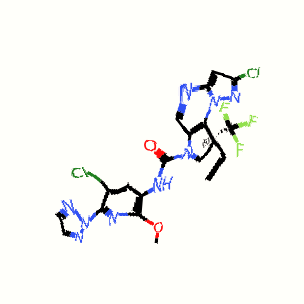 C=C[C@@]1(C(F)(F)F)CN(C(=O)Nc2cc(Cl)c(-n3nccn3)nc2OC)c2cnc3cc(Cl)nn3c21